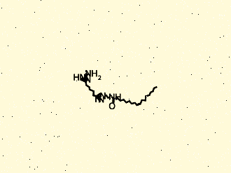 CCCCCCCC/C=C\CCCCCCCC(=C=O)NCCn1cc(CCCCCc2c[nH]c(N)n2)nn1